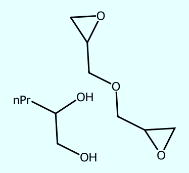 C(OCC1CO1)C1CO1.CCCC(O)CO